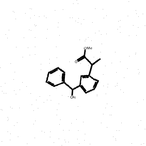 COC(=O)C(C)c1cccc(C(O)c2ccccc2)c1